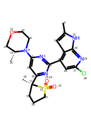 Cc1cc2c(-c3nc(N4CCOC[C@H]4C)cc([C@]4(C)CCCS4(=O)=O)n3)cc(Cl)nc2[nH]1